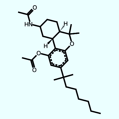 CCCCCCC(C)(C)c1cc(OC(C)=O)c2c(c1)OC(C)(C)[C@@H]1CCC(NC(C)=O)C[C@@H]21